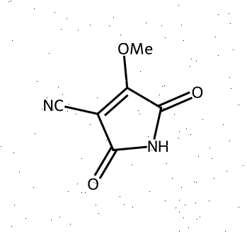 COC1=C(C#N)C(=O)NC1=O